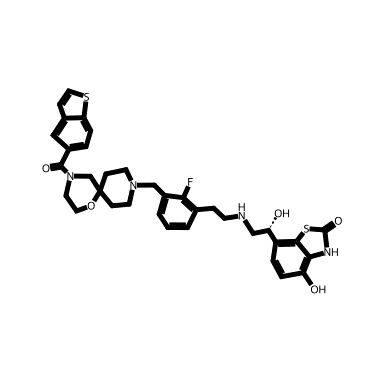 O=C(c1ccc2sccc2c1)N1CCOC2(CCN(Cc3cccc(CCNC[C@H](O)c4ccc(O)c5[nH]c(=O)sc45)c3F)CC2)C1